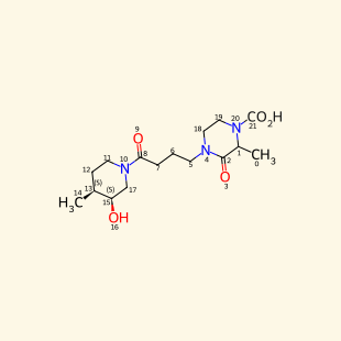 CC1C(=O)N(CCCC(=O)N2CC[C@H](C)[C@H](O)C2)CCN1C(=O)O